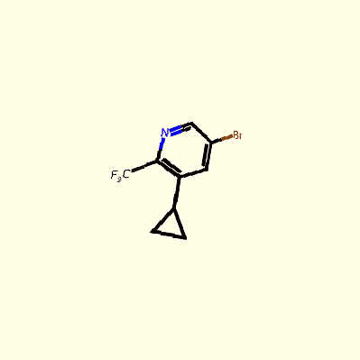 FC(F)(F)c1ncc(Br)cc1C1CC1